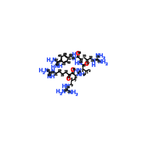 CC(C)[C@H](NN[C@@H](CCCNC(N)N)C(=O)C(=O)CCCCNC(=N)N)C(=O)N[C@@H](CCCNC(N)N)C(=O)NCc1ccc(C(=N)N)cc1